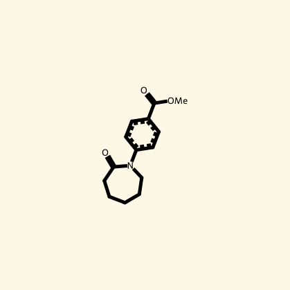 COC(=O)c1ccc(N2CCCCCC2=O)cc1